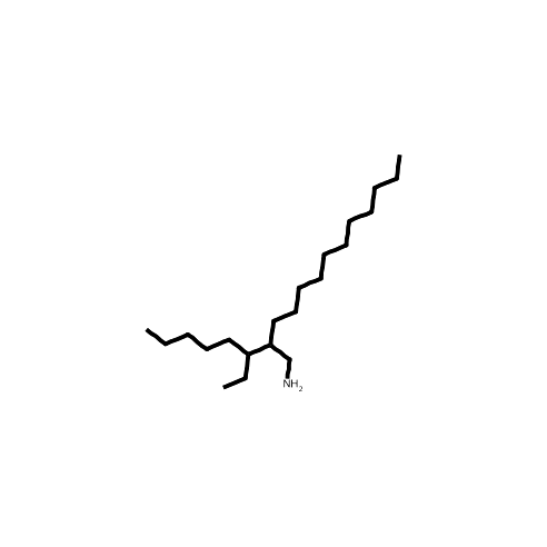 CCCCCCCCCCCC(CN)C(CC)CCCCC